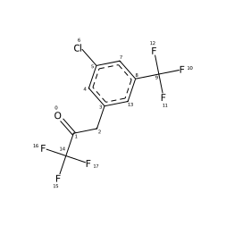 O=C(Cc1cc(Cl)cc(C(F)(F)F)c1)C(F)(F)F